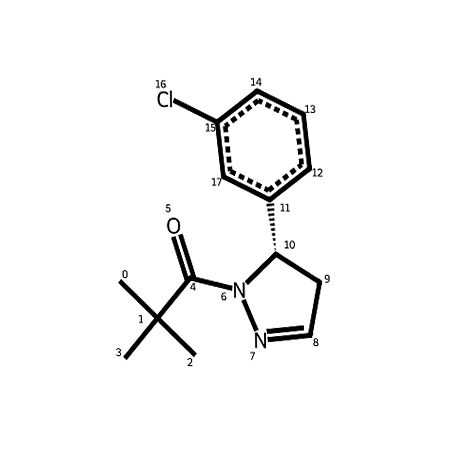 CC(C)(C)C(=O)N1N=CC[C@H]1c1cccc(Cl)c1